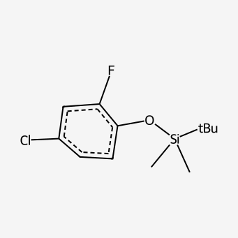 CC(C)(C)[Si](C)(C)Oc1ccc(Cl)cc1F